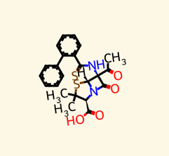 CC(=O)[C@]1(NC(=S)c2ccccc2-c2ccccc2)C(=O)N2[C@@H](C(=O)O)C(C)(C)S[C@@H]21